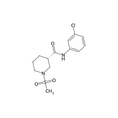 CS(=O)(=O)N1CCC[C@H](C(=O)Nc2cccc(Cl)c2)C1